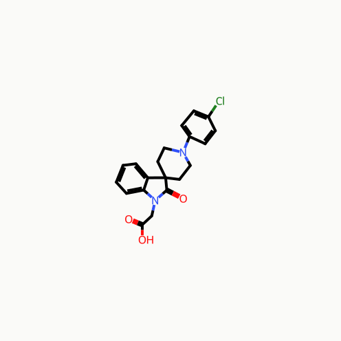 O=C(O)CN1C(=O)C2(CCN(c3ccc(Cl)cc3)CC2)c2ccccc21